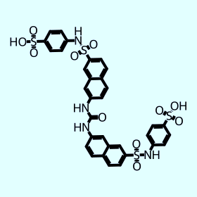 O=C(Nc1ccc2ccc(S(=O)(=O)Nc3ccc(S(=O)(=O)O)cc3)cc2c1)Nc1ccc2ccc(S(=O)(=O)Nc3ccc(S(=O)(=O)O)cc3)cc2c1